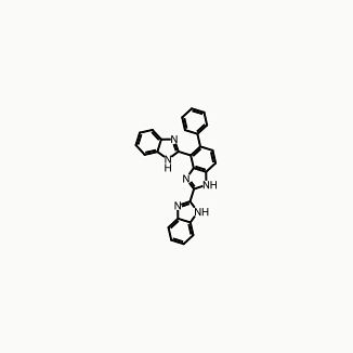 c1ccc(-c2ccc3[nH]c(-c4nc5ccccc5[nH]4)nc3c2-c2nc3ccccc3[nH]2)cc1